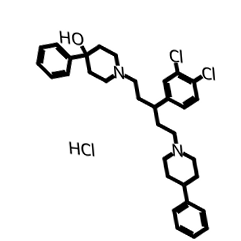 Cl.OC1(c2ccccc2)CCN(CCC(CCN2CCC(c3ccccc3)CC2)c2ccc(Cl)c(Cl)c2)CC1